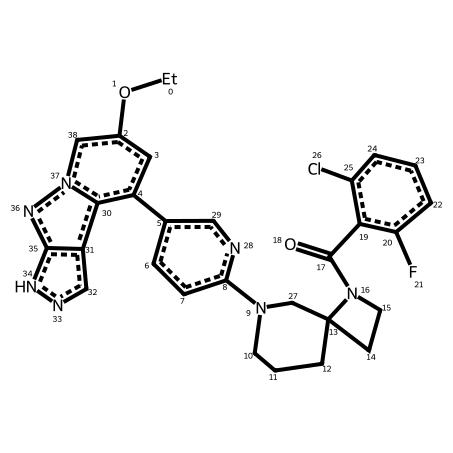 CCOc1cc(-c2ccc(N3CCCC4(CCN4C(=O)c4c(F)cccc4Cl)C3)nc2)c2c3cn[nH]c3nn2c1